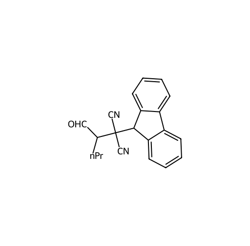 CCCC(C=O)C(C#N)(C#N)C1c2ccccc2-c2ccccc21